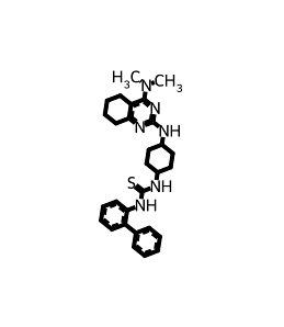 CN(C)c1nc(NC2CCC(NC(=S)Nc3ccccc3-c3ccccc3)CC2)nc2c1CCCC2